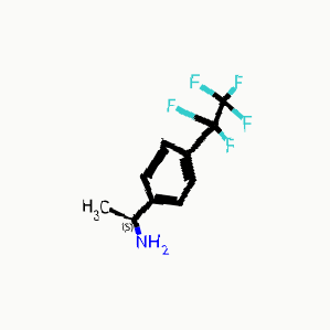 C[C@H](N)c1ccc(C(F)(F)C(F)(F)F)cc1